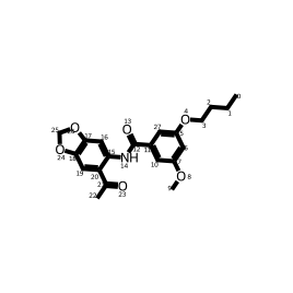 CCCCOc1cc(OC)cc(C(=O)Nc2cc3c(cc2C(C)=O)OCO3)c1